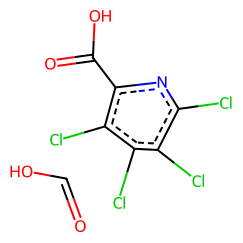 O=C(O)c1nc(Cl)c(Cl)c(Cl)c1Cl.O=CO